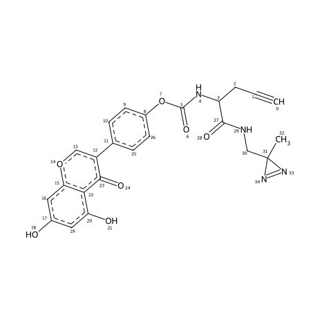 C#CCC(NC(=O)Oc1ccc(-c2coc3cc(O)cc(O)c3c2=O)cc1)C(=O)NCC1(C)N=N1